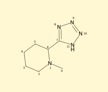 CN1CCCCC1c1nnn[nH]1